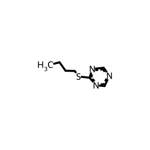 CCCCSc1ncncn1